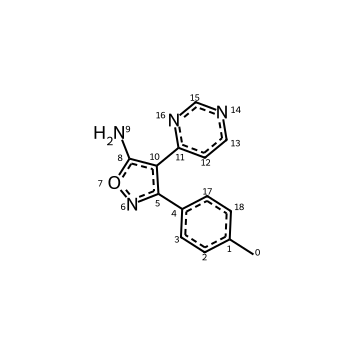 Cc1ccc(-c2noc(N)c2-c2ccncn2)cc1